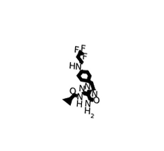 N#CCC1(n2cc(C(N)=O)c(NC(=O)C3CC3)n2)CCC(NCCC(F)(F)F)CC1